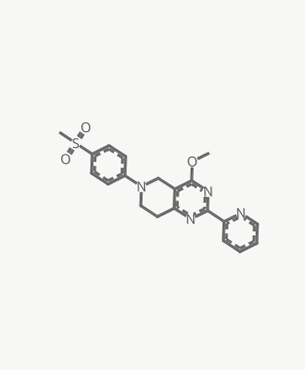 COc1nc(-c2ccccn2)nc2c1CN(c1ccc(S(C)(=O)=O)cc1)CC2